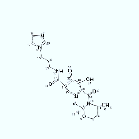 C[C@@H]1CCO[C@H]2Cn3cc(C(=O)NCCCn4ccnc4)c(=O)c(O)c3C(=O)N12